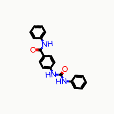 O=C(Nc1ccccc1)Nc1ccc(C(=O)Nc2ccccc2)cc1